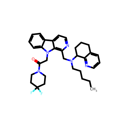 CCCCCN(Cc1nccc2c3ccccc3n(CC(=O)N3CCC(F)(F)CC3)c12)C1CCCc2cccnc21